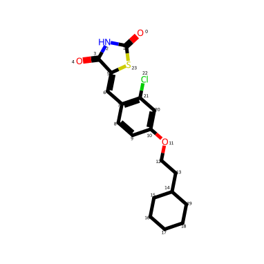 O=C1NC(=O)C(=Cc2ccc(OCCC3CCCCC3)cc2Cl)S1